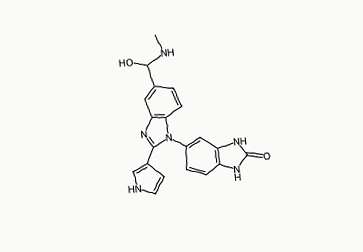 CNC(O)c1ccc2c(c1)nc(-c1cc[nH]c1)n2-c1ccc2[nH]c(=O)[nH]c2c1